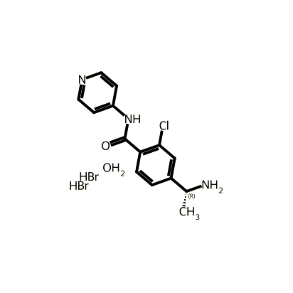 Br.Br.C[C@@H](N)c1ccc(C(=O)Nc2ccncc2)c(Cl)c1.O